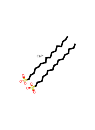 CCCCCCCCCCCCCCCCS(=O)(=O)[O-].CCCCCCCCCCCCCCCCS(=O)(=O)[O-].[Ca+2]